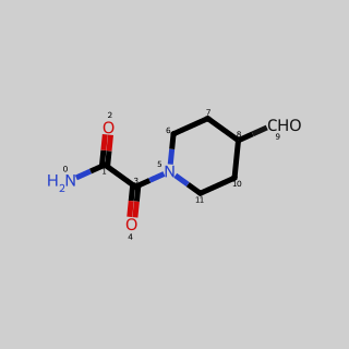 NC(=O)C(=O)N1CCC(C=O)CC1